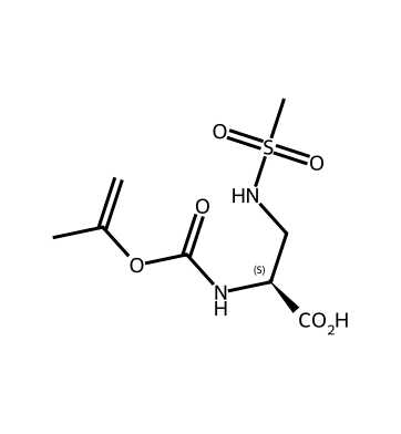 C=C(C)OC(=O)N[C@@H](CNS(C)(=O)=O)C(=O)O